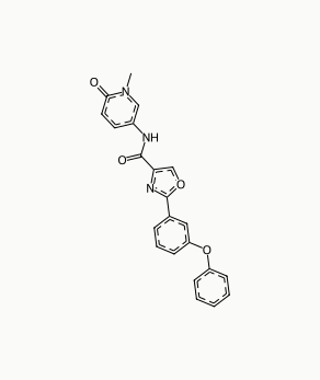 Cn1cc(NC(=O)c2coc(-c3cccc(Oc4ccccc4)c3)n2)ccc1=O